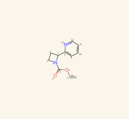 CC(C)(C)OC(=O)N1CCC1c1ccccn1